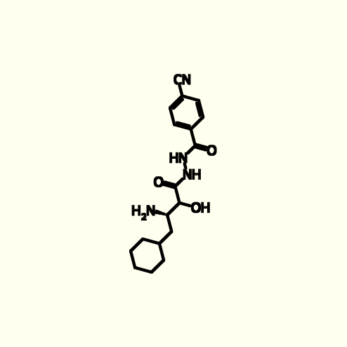 N#Cc1ccc(C(=O)NNC(=O)C(O)[C@H](N)CC2CCCCC2)cc1